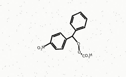 O=C(O)OOC(c1ccccc1)c1ccc([N+](=O)[O-])cc1